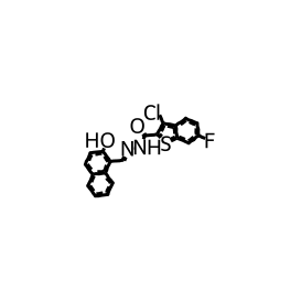 O=C(NN=Cc1c(O)ccc2ccccc12)c1sc2cc(F)ccc2c1Cl